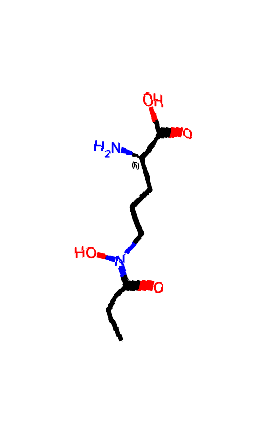 CCC(=O)N(O)CCC[C@@H](N)C(=O)O